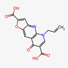 C=CCn1cc(C(=O)O)c(=O)c2cc3oc(C(=O)O)cc3nc21